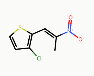 C/C(=C\c1sccc1Cl)[N+](=O)[O-]